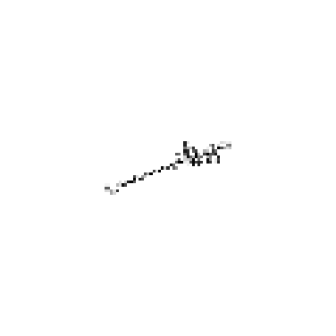 C#C[C@]1(CO)OC[C@@H](n2cnc3c(NC(=O)OCCCCCCCCCCCCCC)nc(F)nc32)[C@@H]1O